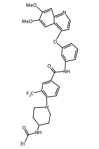 CCC(=O)NC1CCN(c2ccc(C(=O)Nc3cccc(Oc4ccnc5cc(OC)c(OC)cc45)c3)cc2C(F)(F)F)CC1